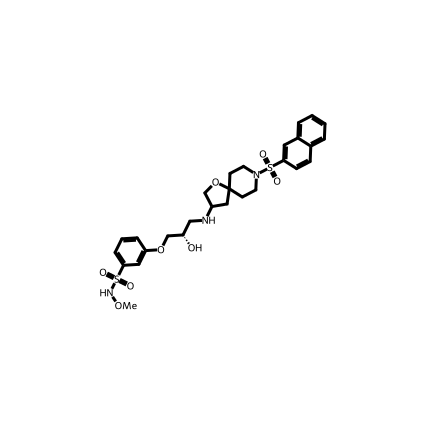 CONS(=O)(=O)c1cccc(OC[C@@H](O)CNC2COC3(CCN(S(=O)(=O)c4ccc5ccccc5c4)CC3)C2)c1